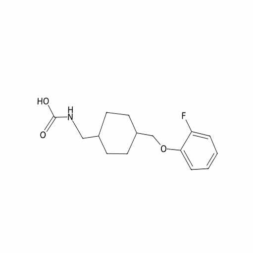 O=C(O)NCC1CCC(COc2ccccc2F)CC1